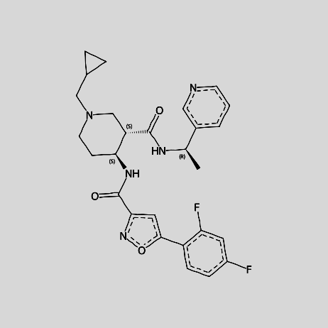 C[C@@H](NC(=O)[C@H]1CN(CC2CC2)CC[C@@H]1NC(=O)c1cc(-c2ccc(F)cc2F)on1)c1cccnc1